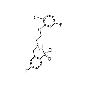 CS(=O)(=O)c1ccc(F)cc1CNCCOc1cc(F)ccc1Cl